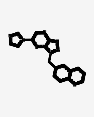 c1cnc2ccc(Cn3nnc4ncc(-n5ccnc5)nc43)cc2c1